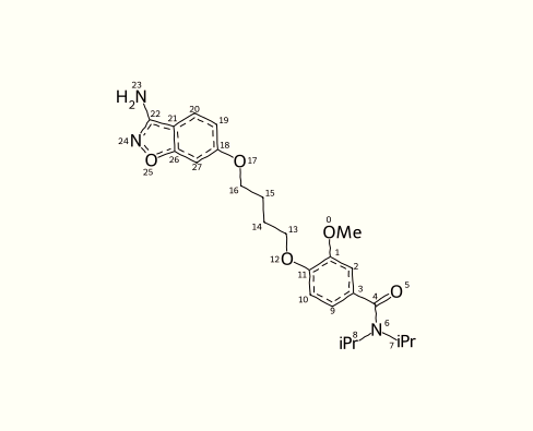 COc1cc(C(=O)N(C(C)C)C(C)C)ccc1OCCCCOc1ccc2c(N)noc2c1